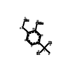 CCC(C)(CC)c1ccc(SC(C)(C)C)c(OC)c1